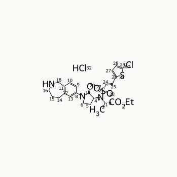 CCOC(=O)[C@H](C)N([C@H]1CCN(c2ccc3c(c2)CCCNC3)C1=O)S(=O)(=O)C=Cc1ccc(Cl)s1.Cl